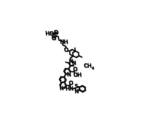 C.Cc1c(-c2ccc(-c3ccc4cncc(C(=O)Nc5nc6ccccc6s5)c4c3)nc2C(=O)O)cnn1CC12CC(C)CC(C)(CC(OCCNCCS(=O)(=O)O)C1)C2